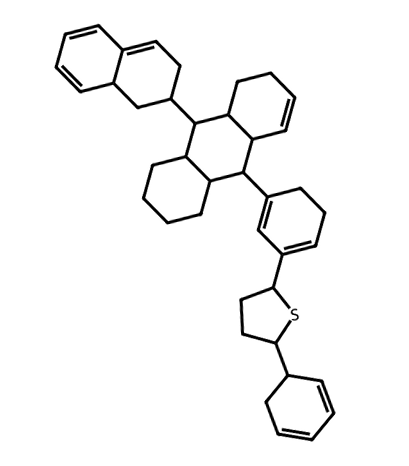 C1=CCC(C2CCC(C3=CCCC(C4C5C=CCCC5C(C5CC=C6C=CC=CC6C5)C5CCCCC54)=C3)S2)C=C1